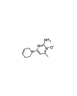 Cc1cc(N2CC=CCC2)nc(N)[n+]1[O-]